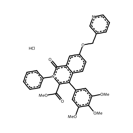 COC(=O)c1c(-c2cc(OC)c(OC)c(OC)c2)c2ccc(OCc3cccnc3)cc2c(=O)n1-c1ccccc1.Cl